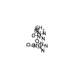 CON=C1c2ccccc2-c2nc(C#N)c(C#N)nc21.N#Cc1nc2c(nc1C#N)-c1ccccc1C2=NOCc1ccccc1